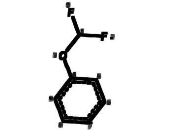 FC(F)Oc1cc[c]cc1